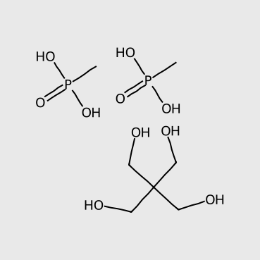 CP(=O)(O)O.CP(=O)(O)O.OCC(CO)(CO)CO